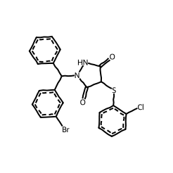 O=C1NN(C(c2ccccc2)c2cccc(Br)c2)C(=O)C1Sc1ccccc1Cl